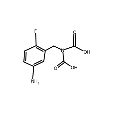 Nc1ccc(F)c(CN(C(=O)O)C(=O)O)c1